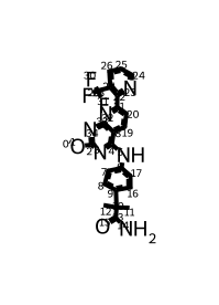 COc1nc(Nc2ccc(C(C)(C)C(N)=O)cc2)c2ccc(-c3ncccc3C(F)(F)F)nc2n1